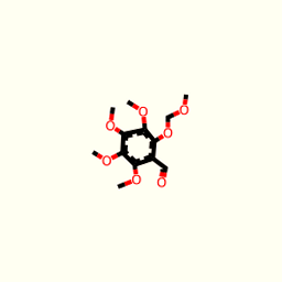 COCOc1c(C=O)c(OC)c(OC)c(OC)c1OC